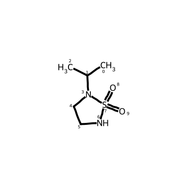 CC(C)N1CCNS1(=O)=O